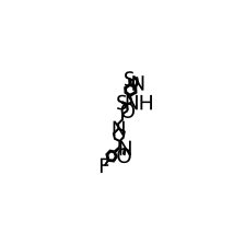 Fc1ccc2c(C3CCN(CCCOC(=S)Nc4ccc5scnc5c4)CC3)noc2c1